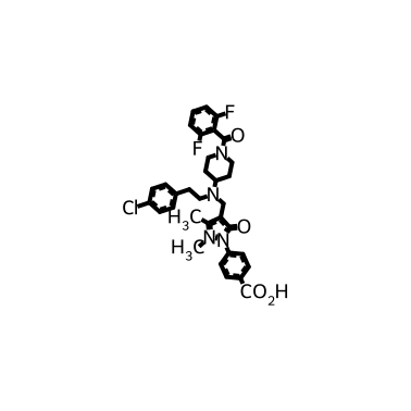 Cc1c(CN(CCc2ccc(Cl)cc2)C2CCN(C(=O)c3c(F)cccc3F)CC2)c(=O)n(-c2ccc(C(=O)O)cc2)n1C